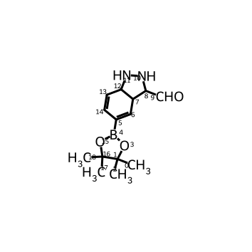 CC1(C)OB(C2=CC3C(C=O)NNC3C=C2)OC1(C)C